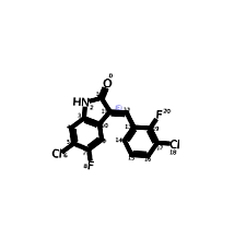 O=C1Nc2cc(Cl)c(F)cc2/C1=C\c1cccc(Cl)c1F